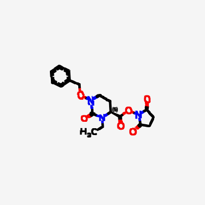 CCN1C(=O)N(OCc2ccccc2)CC[C@H]1C(=O)ON1C(=O)CCC1=O